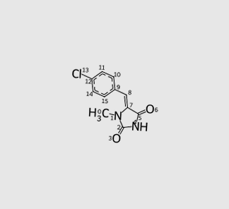 CN1C(=O)NC(=O)C1=Cc1ccc(Cl)cc1